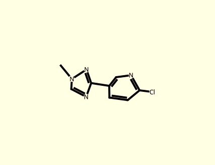 Cn1cnc(-c2ccc(Cl)nc2)n1